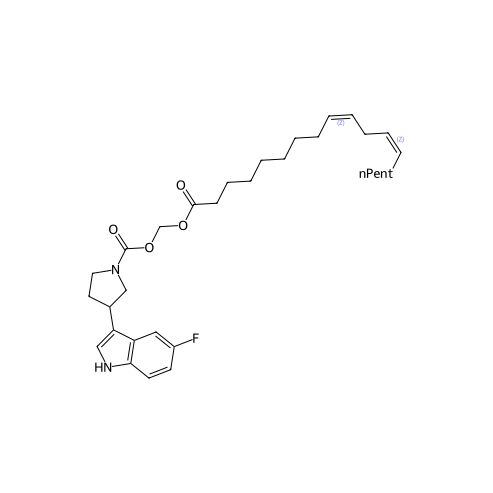 CCCCC/C=C\C/C=C\CCCCCCCC(=O)OCOC(=O)N1CCC(c2c[nH]c3ccc(F)cc23)C1